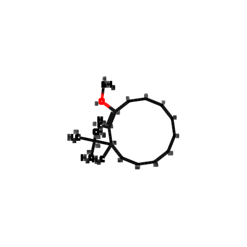 CC1=C(O[SiH3])CCCCCCCCCC1(C)C(C)(C)C